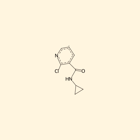 O=C(NC1CC1)c1c[c]cnc1Cl